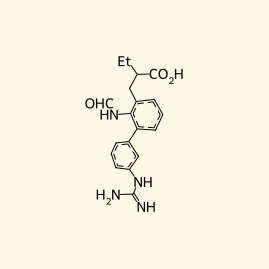 CCC(Cc1cccc(-c2cccc(NC(=N)N)c2)c1NC=O)C(=O)O